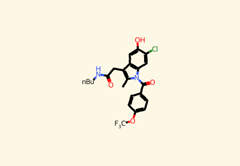 CCCCNC(=O)Cc1c(C)n(C(=O)c2ccc(OC(F)(F)F)cc2)c2cc(Cl)c(O)cc12